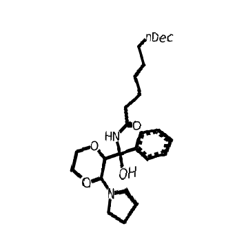 CCCCCCCCCCCCCCCC(=O)NC(O)(c1ccccc1)C1OCCOC1N1CCCC1